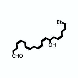 CC/C=C\C/C=C\CC(O)/C=C\C=C/C/C=C\C/C=C\CCC=O